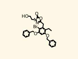 CCc1c(OCc2ccccc2)cc(OCc2ccccc2)c(Br)c1Cc1nn(CCO)c(=O)o1